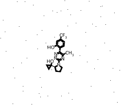 Cc1nc(N2CCC[C@H]2C2(O)CC2)nnc1-c1ccc(C(F)(F)F)cc1O